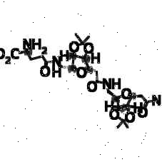 CC1(C)O[C@@H]2[C@H](O1)[C@@H](CNC(=O)C[C@@H]1O[C@H](CNC(=O)CC[C@H](N)C(=O)O)[C@H]3OC(C)(C)O[C@H]31)O[C@H]2CC(N)=O